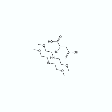 COCCNCCOC.COCCNCCOC.O=C(O)CC(O)C(=O)O